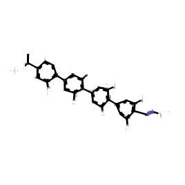 CC(O)c1ccc(-c2cc(F)c(-c3cc(F)c(-c4cc(F)c(/C=C/C(F)(F)F)c(F)c4)c(F)c3)c(F)c2)c(F)c1